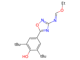 CCO/C=N/c1noc(-c2cc(C(C)(C)C)c(O)c(C(C)(C)C)c2)n1